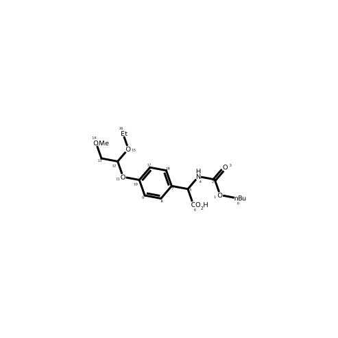 CCCCOC(=O)NC(C(=O)O)c1ccc(OC(COC)OCC)cc1